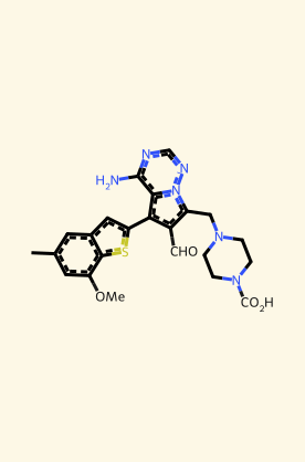 COc1cc(C)cc2cc(-c3c(C=O)c(CN4CCN(C(=O)O)CC4)n4ncnc(N)c34)sc12